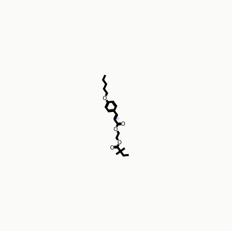 CCCCCOc1ccc(/C=C/C(=O)OCCOC(=O)C(C)(C)CC)cc1